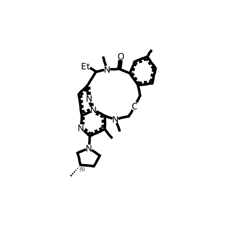 CCC1c2cc3nc(N4CC[C@H](C)C4)c(C)c(n3n2)N(C)CCCc2ccc(C)cc2C(=O)N1C